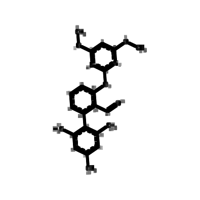 COc1cc(OC)nc(Oc2cccc(-c3c(C)cc(C)cc3C)c2C=O)n1